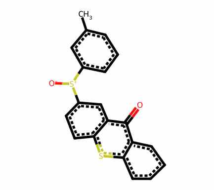 Cc1cccc([S+]([O-])c2ccc3sc4ccccc4c(=O)c3c2)c1